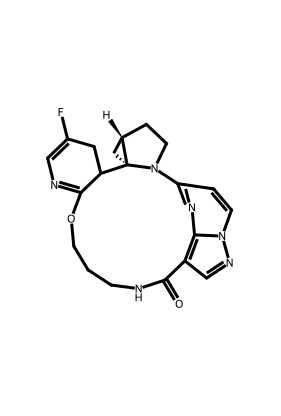 O=C1NCCCOC2=NC=C(F)CC2[C@@]23C[C@@H]2CCN3c2ccn3ncc1c3n2